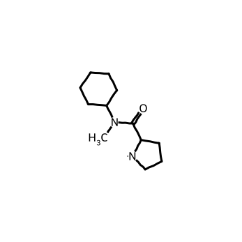 CN(C(=O)C1CCC[N]1)C1CCCCC1